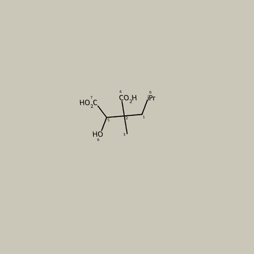 CC(C)CC(C)(C(=O)O)C(O)C(=O)O